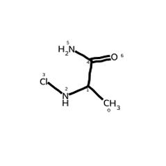 CC(NCl)C(N)=O